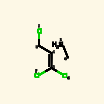 C[SiH3].ClCC=C(Cl)Cl